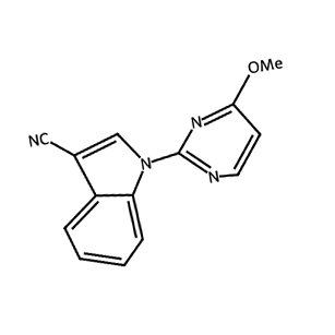 COc1ccnc(-n2cc(C#N)c3ccccc32)n1